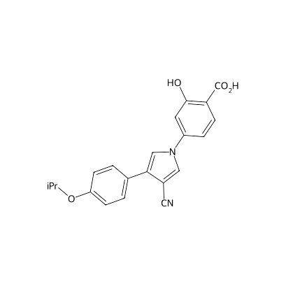 CC(C)Oc1ccc(-c2cn(-c3ccc(C(=O)O)c(O)c3)cc2C#N)cc1